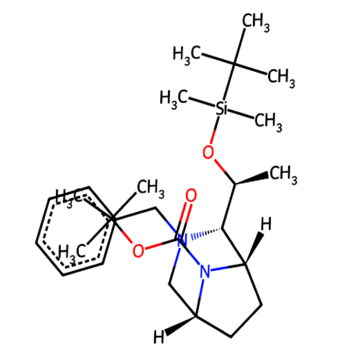 C[C@H](O[Si](C)(C)C(C)(C)C)[C@@H]1[C@@H]2CC[C@H](CN1Cc1ccccc1)N2C(=O)OC(C)(C)C